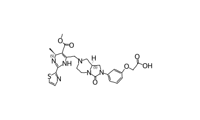 COC(=O)C1=C(CN2CCN3C(=O)N(c4cccc(OCC(=O)O)c4)C[C@@H]3C2)NC(c2nccs2)=N[C@H]1C